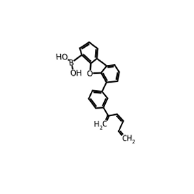 C=C/C=C\C(=C)c1cccc(-c2cccc3c2oc2c(B(O)O)cccc23)c1